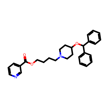 O=C(OCCCCN1CCC(OC(c2ccccc2)c2ccccc2)CC1)c1cccnc1